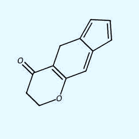 O=C1CCOC2=C1CC1=CC=CC1=C2